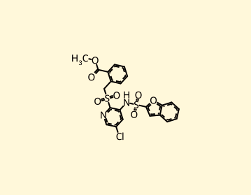 COC(=O)c1ccccc1CS(=O)(=O)c1ncc(Cl)cc1NS(=O)(=O)c1cc2ccccc2o1